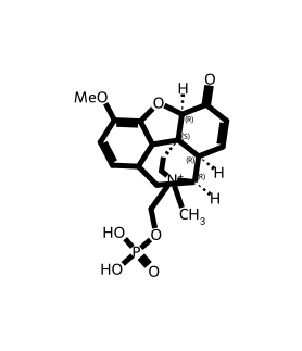 COC1=C2O[C@H]3C(=O)C=C[C@H]4[C@H]5CC(C=C1)C2[C@@]34CC[N+]5(C)COP(=O)(O)O